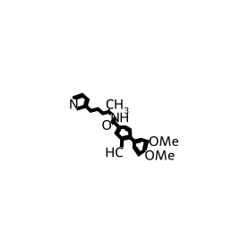 C#Cc1cc(C(=O)N[C@H](C)CCCc2cccnc2)ccc1-c1ccc(OC)c(OC)c1